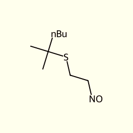 CCCCC(C)(C)SCCN=O